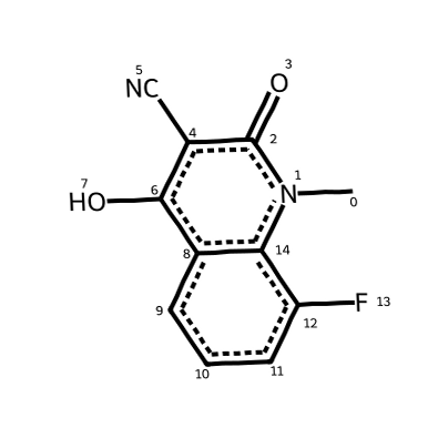 Cn1c(=O)c(C#N)c(O)c2cccc(F)c21